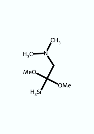 COC([SiH3])(CN(C)C)OC